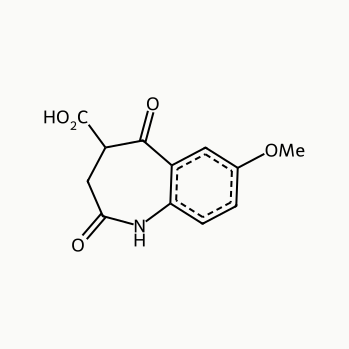 COc1ccc2c(c1)C(=O)C(C(=O)O)CC(=O)N2